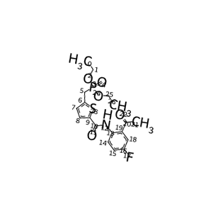 CCOP(=O)(Cc1ccc(C(=O)Nc2ccc(F)cc2C(C)=O)s1)OCC